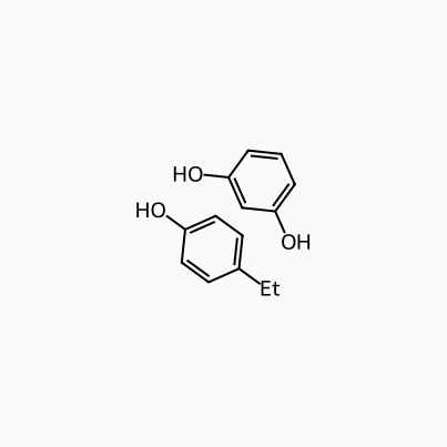 CCc1ccc(O)cc1.Oc1cccc(O)c1